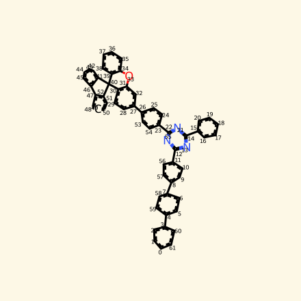 c1ccc(-c2ccc(-c3ccc(-c4nc(-c5ccccc5)nc(-c5ccc(-c6ccc7c(c6)Oc6ccccc6C76c7ccccc7-c7ccccc76)cc5)n4)cc3)cc2)cc1